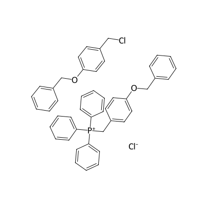 ClCc1ccc(OCc2ccccc2)cc1.[Cl-].c1ccc(COc2ccc(C[P+](c3ccccc3)(c3ccccc3)c3ccccc3)cc2)cc1